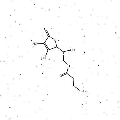 CCCCCCCCCCCC(=O)OCC(O)C1OC(=O)C(O)=C1O